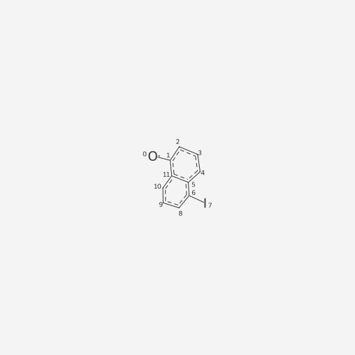 [O]c1cccc2c(I)cccc12